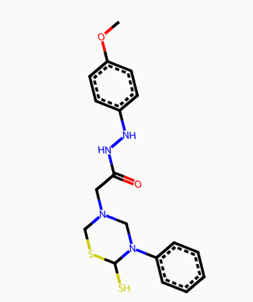 COc1ccc(NNC(=O)CN2CSC(S)N(c3ccccc3)C2)cc1